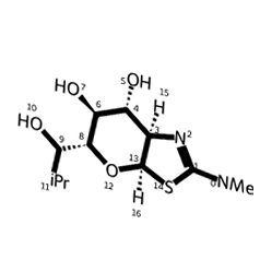 CNC1=N[C@@H]2[C@@H](O)[C@H](O)[C@@H](C(O)C(C)C)O[C@@H]2S1